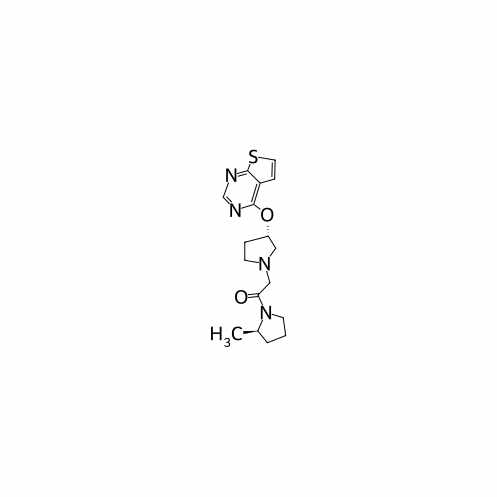 C[C@@H]1CCCN1C(=O)CN1CC[C@H](Oc2ncnc3sccc23)C1